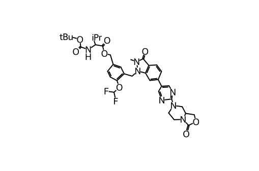 CC(C)C(NC(=O)OC(C)(C)C)C(=O)OCc1ccc(OC(F)F)c(Cn2c3cc(-c4cnc(N5CCN6C(=O)OCC6C5)nc4)ccc3c(=O)n2C)c1